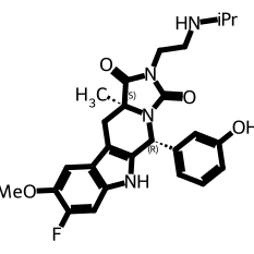 COc1cc2c3c([nH]c2cc1F)[C@@H](c1cccc(O)c1)N1C(=O)N(CCNC(C)C)C(=O)[C@]1(C)C3